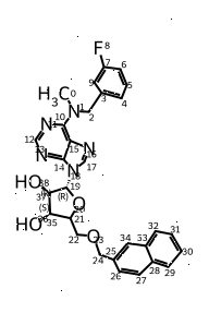 CN(Cc1cccc(F)c1)c1ncnc2c1ncn2[C@@H]1OC(COCc2ccc3ccccc3c2)[C@@H](O)[C@H]1O